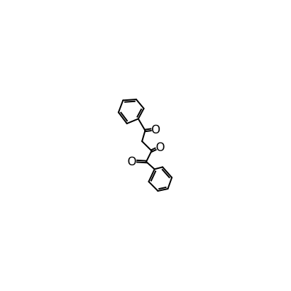 O=C(CC(=O)c1ccccc1)C(=O)c1ccccc1